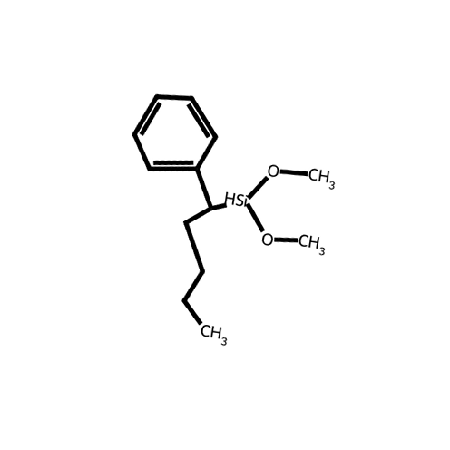 CCCCC(c1ccccc1)[SiH](OC)OC